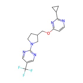 FC(F)(F)c1cnc(N2CCC(COc3ccnc(C4CC4)n3)C2)nc1